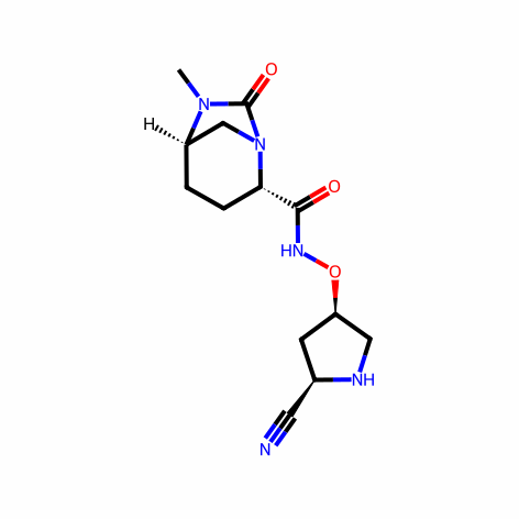 CN1C(=O)N2C[C@H]1CC[C@H]2C(=O)NO[C@H]1CN[C@@H](C#N)C1